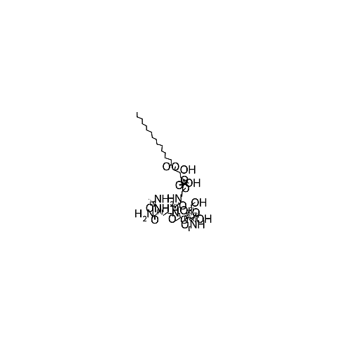 CCCCCCCCCCCCCCCC(=O)OCC(O)COP(=O)(O)OCCNC(=O)[C@H](C)N(CC(C)O[C@H]1[C@H](O)[C@@H](CO)O[C@H](O)[C@@H]1NC(C)=O)C(=O)CC[C@@H](NC(=O)[C@H](C)N)C(N)=O